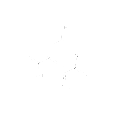 C=CC(N)=O.CCOC(=O)C(=O)O